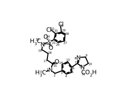 CN(Cc1ccc(C2=NCCN2C(=O)O)cc1)C(=O)CCCN(C)S(=O)(=O)c1cccc(Cl)c1Cl